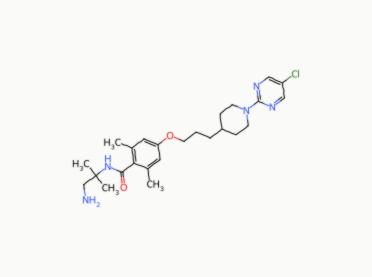 Cc1cc(OCCCC2CCN(c3ncc(Cl)cn3)CC2)cc(C)c1C(=O)NC(C)(C)CN